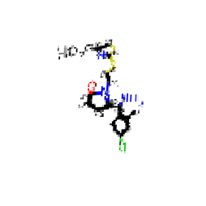 Cc1cc(Cl)ccc1C(N)[C@H]1CCC(=O)N1CCSc1nc(C(=O)O)cs1